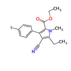 CCOC(=O)c1c(-c2ccc(I)cc2)c(C#N)c(CC)n1C